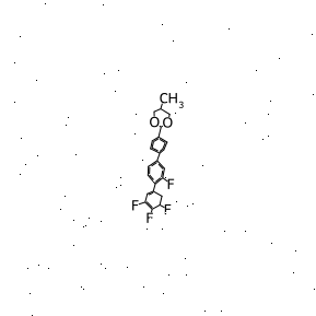 CC1COC(c2ccc(-c3ccc(C4=CC(F)=C(F)C(F)C4)c(F)c3)cc2)OC1